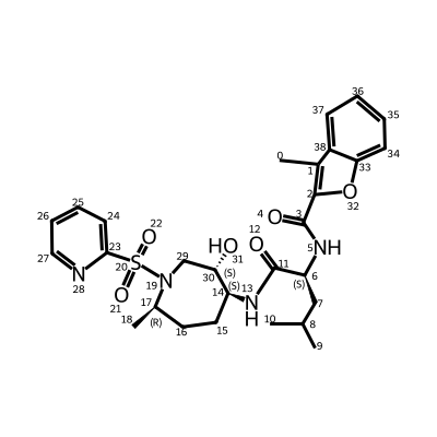 Cc1c(C(=O)N[C@@H](CC(C)C)C(=O)N[C@H]2CC[C@@H](C)N(S(=O)(=O)c3ccccn3)C[C@@H]2O)oc2ccccc12